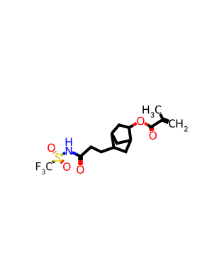 C=C(C)C(=O)OC1CC2CC1CC2CCC(=O)NS(=O)(=O)C(F)(F)F